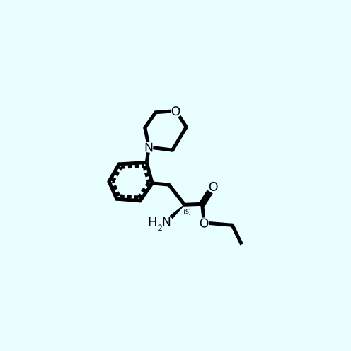 CCOC(=O)[C@@H](N)Cc1ccccc1N1CCOCC1